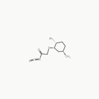 CC(C)[C@@H]1CC[C@@H](C)C[C@H]1OCC(=O)N=C=S